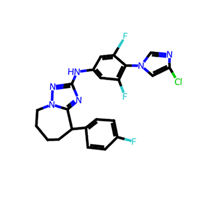 Fc1ccc(C2CCCCn3nc(Nc4cc(F)c(-n5cnc(Cl)c5)c(F)c4)nc32)cc1